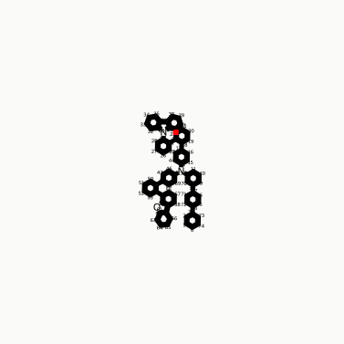 c1ccc(-c2ccc(-c3cccc(N(c4ccc(-c5ccccc5-c5ccccc5-n5c6ccccc6c6ccccc65)cc4)c4ccc(-c5ccccc5-c5cccc6c5oc5ccccc56)cc4)c3)cc2)cc1